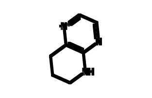 C1=NC2=C(CCCN2)[N+]=C1